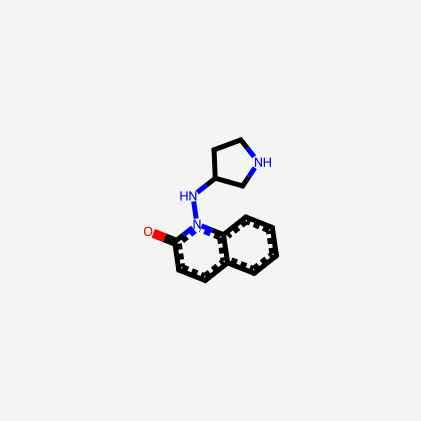 O=c1ccc2ccccc2n1NC1CCNC1